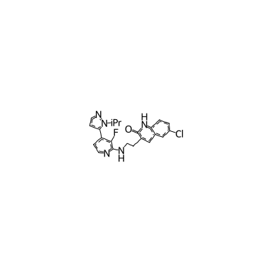 CC(C)n1nccc1-c1ccnc(NCCc2cc3cc(Cl)ccc3[nH]c2=O)c1F